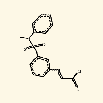 CN(c1ccccc1)S(=O)(=O)c1cccc(C=CC(=O)Cl)c1